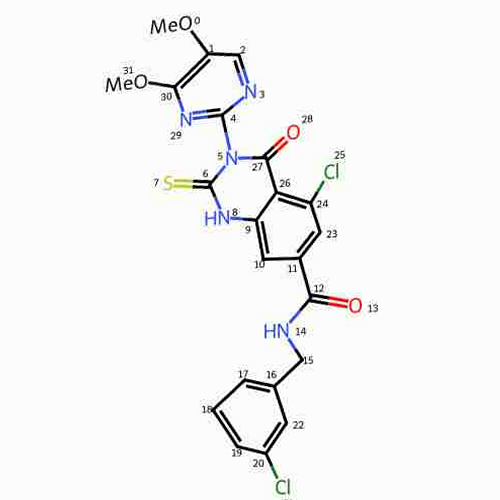 COc1cnc(-n2c(=S)[nH]c3cc(C(=O)NCc4cccc(Cl)c4)cc(Cl)c3c2=O)nc1OC